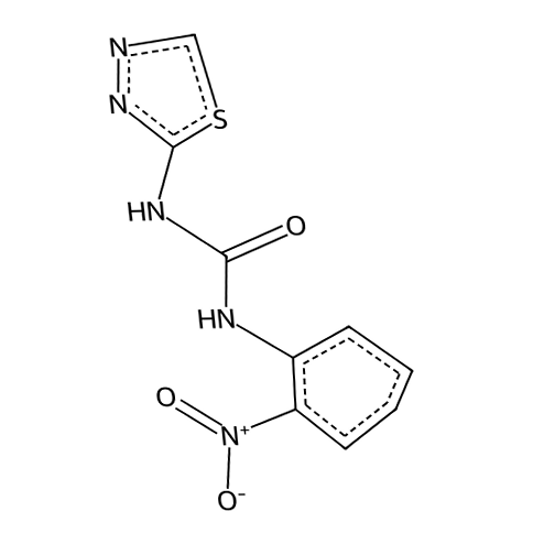 O=C(Nc1nncs1)Nc1ccccc1[N+](=O)[O-]